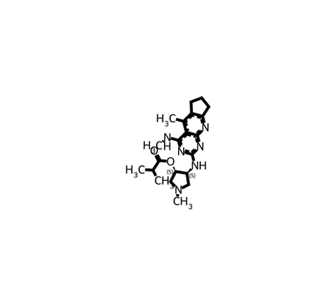 CNc1nc(N[C@H]2CN(C)C[C@@H]2OC(=O)C(C)C)nc2nc3c(c(C)c12)CCC3